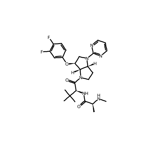 CN[C@@H](C)C(=O)N[C@H](C(=O)N1CC[C@@H]2[C@H]1[C@@H](Oc1ccc(F)c(F)c1)CN2c1ncccn1)C(C)(C)C